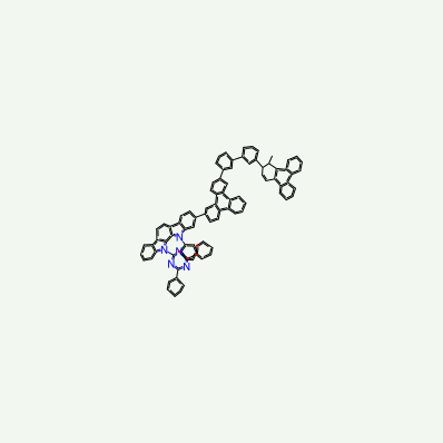 CC1c2c(c3ccccc3c3ccccc23)C=CC1c1cccc(-c2cccc(-c3ccc4c(c3)c3ccccc3c3ccc(-c5ccc6c7ccc8c9ccccc9n(-c9nc(-c%10ccccc%10)nc(-c%10ccccc%10)n9)c8c7n(-c7ccccc7)c6c5)cc34)c2)c1